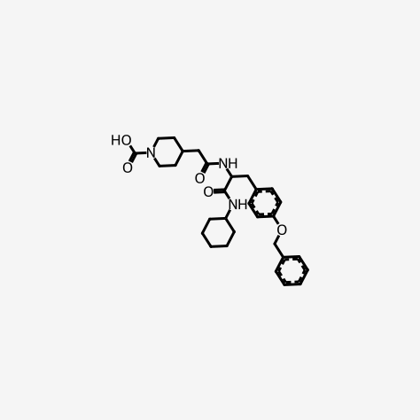 O=C(CC1CCN(C(=O)O)CC1)NC(Cc1ccc(OCc2ccccc2)cc1)C(=O)NC1CCCCC1